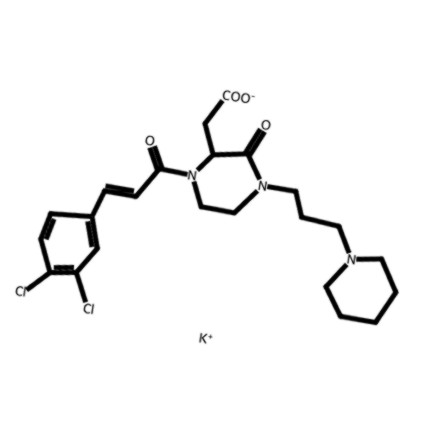 O=C([O-])CC1C(=O)N(CCCN2CCCCC2)CCN1C(=O)/C=C/c1ccc(Cl)c(Cl)c1.[K+]